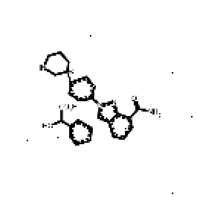 NC(=O)c1cccc2cn(-c3ccc([C@@H]4CCCNC4)cc3)nc12.O=C(O)C(O)c1ccccc1